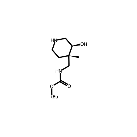 CC(C)(C)OC(=O)NC[C@]1(C)CCNC[C@H]1O